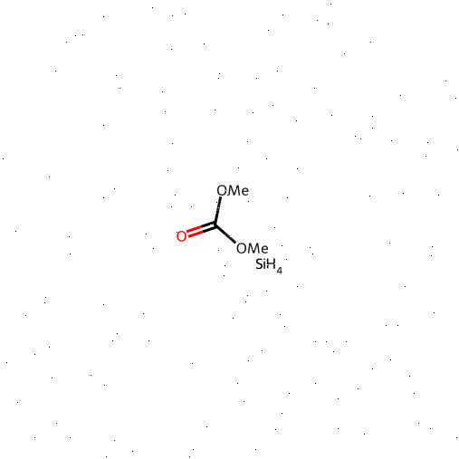 COC(=O)OC.[SiH4]